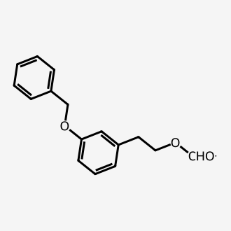 O=[C]OCCc1cccc(OCc2ccccc2)c1